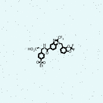 CCS(=O)(=O)c1ccc([C@H](CC(=O)O)NC(=O)c2ccc3c(c2)nc(C(F)(F)F)n3Cc2cccc3c2OC(F)(F)O3)cc1